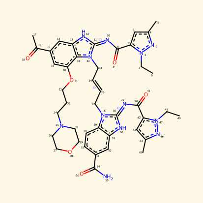 CCn1nc(C)cc1C(=O)/N=c1/[nH]c2cc(C(C)=O)cc(OCCCN3CCOCC3)c2n1C/C=C/Cn1/c(=N/C(=O)c2cc(C)nn2CC)[nH]c2cc(C(N)=O)ccc21